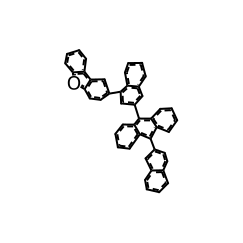 c1ccc2cc(-c3c4ccccc4c(-c4cc(-c5ccc6oc7ccccc7c6c5)c5ccccc5c4)c4ccccc34)ccc2c1